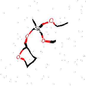 CCO[Si](C)(OC)OC1CCO1